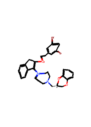 Brc1cc(Br)cc(COC2Cc3ccccc3C2N2CCN(C[C@H]3COc4ccccc4O3)CC2)c1